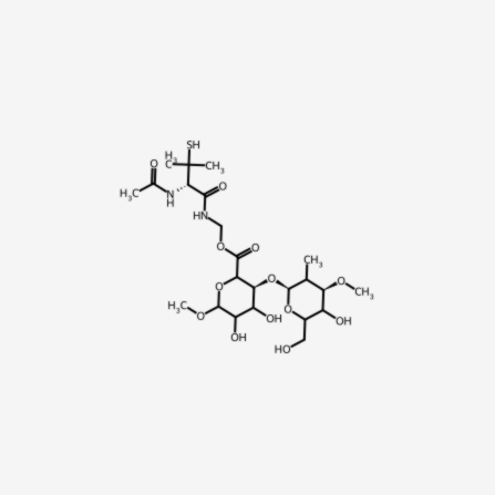 COC1OC(C(=O)OCNC(=O)[C@H](NC(C)=O)C(C)(C)S)[C@@H](O[C@@H]2OC(CO)C(O)[C@H](OC)C2C)C(O)C1O